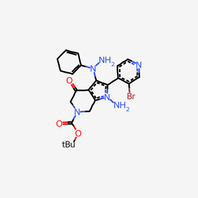 CC(C)(C)OC(=O)N1CC(=O)c2c(N(N)C3=CCCC=C3)c(-c3ccncc3Br)n(N)c2C1